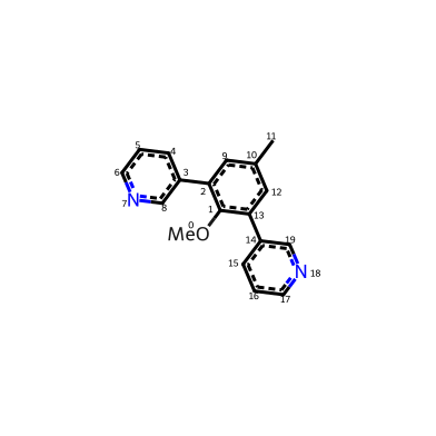 COc1c(-c2cccnc2)cc(C)cc1-c1cccnc1